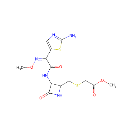 CO/N=C(\C(=O)NC1C(=O)NC1CSCC(=O)OC)c1cnc(N)s1